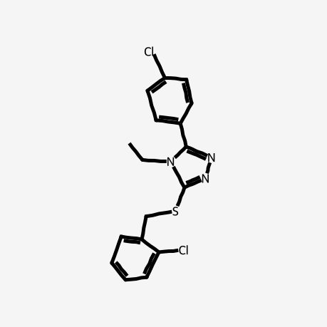 CCn1c(SCc2ccccc2Cl)nnc1-c1ccc(Cl)cc1